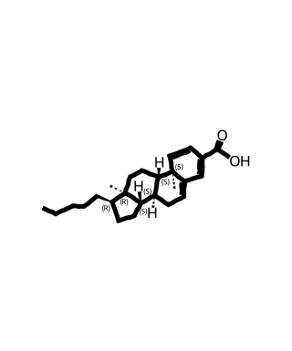 CCCCC[C@@H]1CC[C@H]2[C@@H]3CC=C4C=C(C(=O)O)C=C[C@]4(C)[C@H]3CC[C@]12C